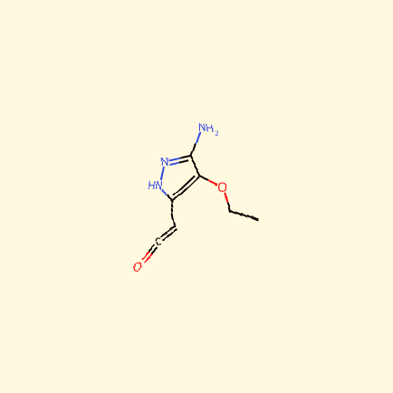 CCOc1c(N)n[nH]c1C=C=O